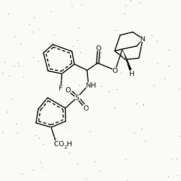 O=C(O)c1cccc(S(=O)(=O)NC(C(=O)O[C@H]2CN3CCC2CC3)c2ccccc2F)c1